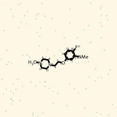 CNc1cc(OCCN2CCN(C)CC2)ccc1F